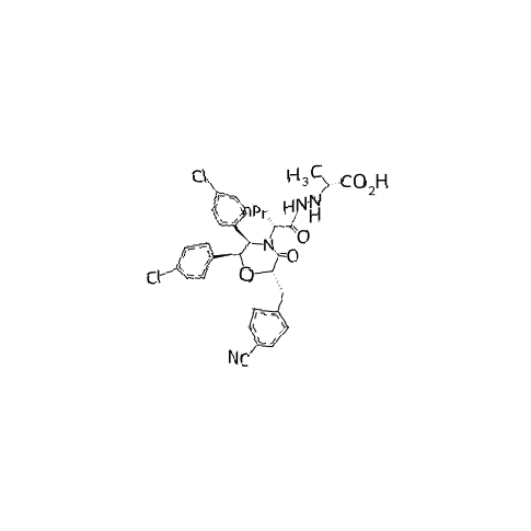 CCC[C@H](C(=O)NN[C@H](C)C(=O)O)N1C(=O)[C@H](Cc2ccc(C#N)cc2)O[C@@H](c2ccc(Cl)cc2)[C@H]1c1ccc(Cl)cc1